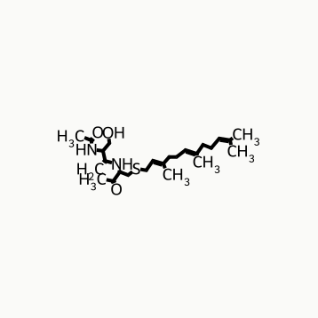 C=C(NC(CSC/C=C(\C)CC/C=C(\C)CCC=C(C)C)C(C)=O)C(CO)NC(C)=O